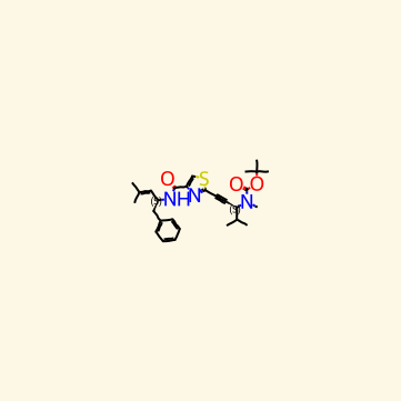 CC(C)=C[C@H](Cc1ccccc1)NC(=O)c1csc(C#C[C@H](C(C)C)N(C)C(=O)OC(C)(C)C)n1